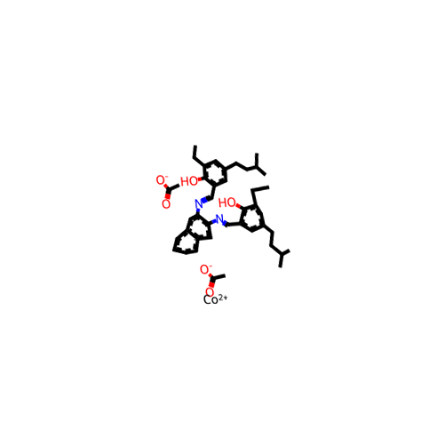 CC(=O)[O-].CC(=O)[O-].CCc1cc(CCC(C)C)cc(C=Nc2cc3ccccc3cc2N=Cc2cc(CCC(C)C)cc(CC)c2O)c1O.[Co+2]